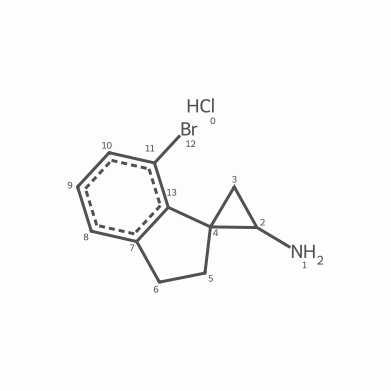 Cl.NC1CC12CCc1cccc(Br)c12